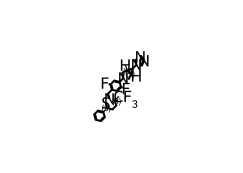 Fc1cc(N2C[C@@H]3C(n4cnnc4)[C@@H]3C2)c(F)cc1CN1S[C@H](c2ccccc2)CC[C@@H]1C(F)(F)F